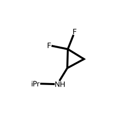 CC(C)NC1CC1(F)F